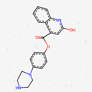 O=C(Oc1ccc(N2CCNCC2)cc1)c1cc(O)nc2ccccc12